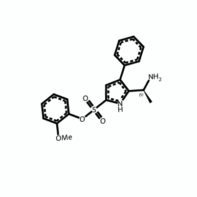 COc1ccccc1OS(=O)(=O)c1cc(-c2ccccc2)c([C@H](C)N)[nH]1